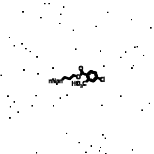 CCCCCCCCCCCCOC(=O)c1ccc(Cl)cc1C(=O)O